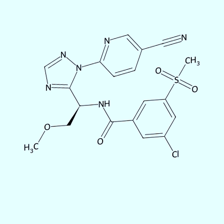 COC[C@H](NC(=O)c1cc(Cl)cc(S(C)(=O)=O)c1)c1ncnn1-c1ccc(C#N)cn1